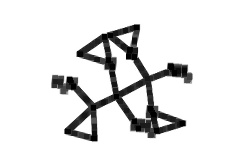 NC1(C(N)(N2CC2)C(N)(N2CC2)N2CC2)CC1